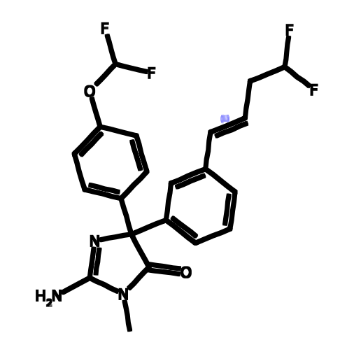 CN1C(=O)C(c2ccc(OC(F)F)cc2)(c2cccc(/C=C/CC(F)F)c2)N=C1N